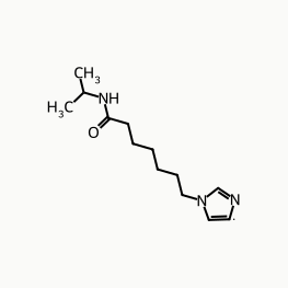 CC(C)NC(=O)CCCCCCn1c[c]nc1